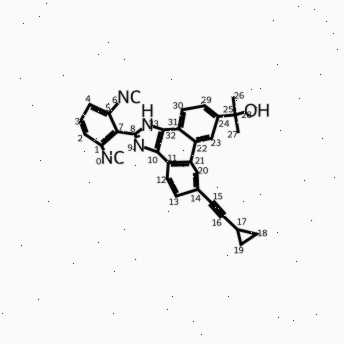 [C-]#[N+]c1cccc([N+]#[C-])c1-c1nc2c3ccc(C#CC4CC4)cc3c3cc(C(C)(C)O)ccc3c2[nH]1